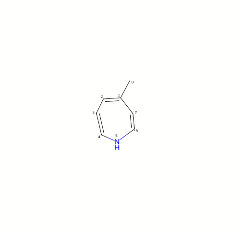 CC1=CC=CN[C]=C1